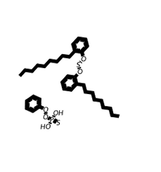 CCCCCCCCCc1ccccc1OSOc1ccccc1CCCCCCCCC.OP(O)(=S)OOc1ccccc1